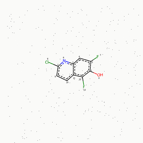 Oc1c(F)cc2nc(Cl)ccc2c1F